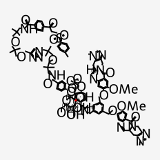 COc1cc2c(cc1OCc1cc(COc3cc4c(cc3OC)C(=O)N3Cc5ncn(C)c5C[C@H]3C=N4)cc(C[N+](C)(C)Cc3ccc(OS(=O)(=O)Oc4cc(C(=O)NCC(C)(C)COCC(C)(C)Cn5cc(COCC(C)(C)COCC(C)(C)CNC(=O)c6ccc(C(=O)CCS(=O)(=O)c7ccc(C)cc7)cc6)nn5)ccc4O[C@@H]4O[C@H](CO)[C@H](O)[C@H](O)[C@H]4O)cc3)c1)N=CC1Cc3c(ncn3C)CN1C2=O